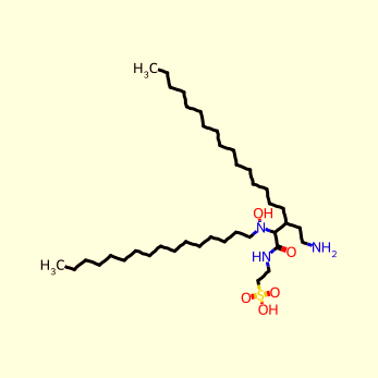 CCCCCCCCCCCCCCCCC(CCN)C(C(=O)NCCS(=O)(=O)O)N(O)CCCCCCCCCCCCCCCC